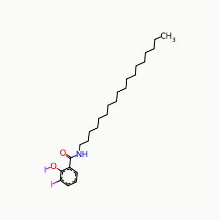 CCCCCCCCCCCCCCCCCCNC(=O)c1cccc(I)c1OI